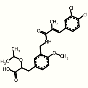 COc1ccc(CC(OC(C)C)C(=O)O)cc1CNC(=O)C(C)=Cc1ccc(Cl)c(Cl)c1